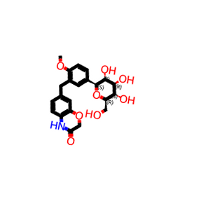 COc1ccc([C@@H]2O[C@H](CO)[C@@H](O)[C@H](O)[C@H]2O)cc1Cc1ccc2c(c1)OCC(=O)N2